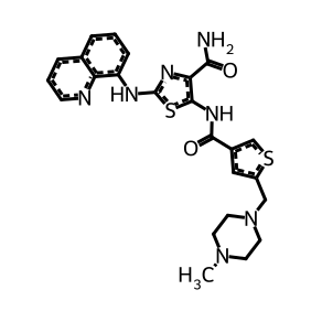 CN1CCN(Cc2cc(C(=O)Nc3sc(Nc4cccc5cccnc45)nc3C(N)=O)cs2)CC1